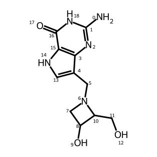 Nc1nc2c(CN3CC(O)C3CO)c[nH]c2c(=O)[nH]1